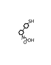 CN(CC(=O)O)c1cccc(-c2ccc(S)cc2)c1